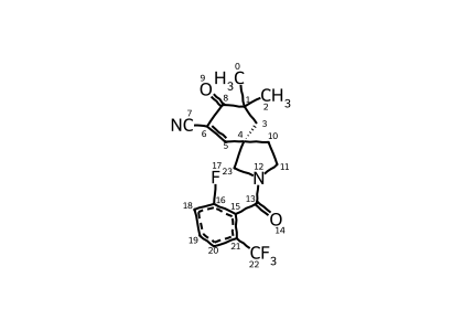 CC1(C)C[C@]2(C=C(C#N)C1=O)CCN(C(=O)c1c(F)cccc1C(F)(F)F)C2